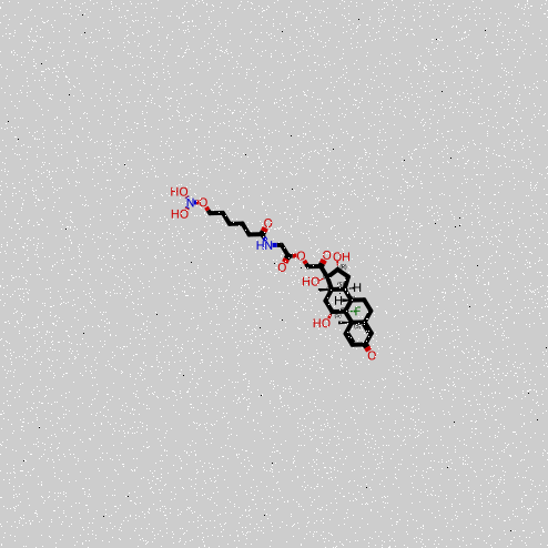 C[C@]12C=CC(=O)C=C1CC[C@H]1[C@@H]3C[C@@H](O)[C@](O)(C(=O)COC(=O)CNC(=O)CCCCCON(O)O)[C@@]3(C)C[C@H](O)[C@@]12F